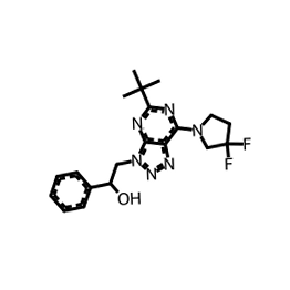 CC(C)(C)c1nc(N2CCC(F)(F)C2)c2nnn(CC(O)c3ccccc3)c2n1